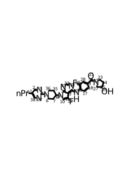 CCCc1cnc(N2CCC(n3cc(F)c4c(Nc5ccc(C(=O)N6CC[C@H](O)C6)cc5F)ncnc43)CC2)nc1